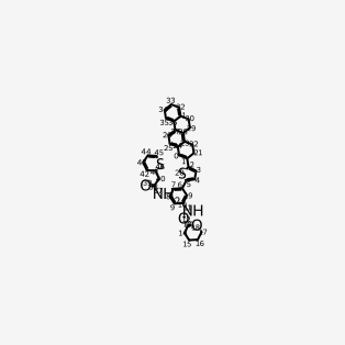 C1=C(c2ccc(-c3cccc(NO[C@H]4CCCCO4)c3)s2)CCc2c1ccc1c2CCc2ccccc2-1.NC(=O)CC1C=CC=CS1